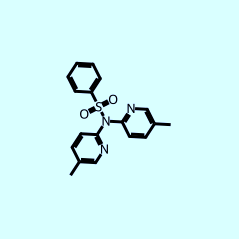 Cc1ccc(N(c2ccc(C)cn2)S(=O)(=O)c2ccccc2)nc1